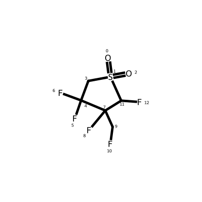 O=S1(=O)CC(F)(F)C(F)(CF)C1F